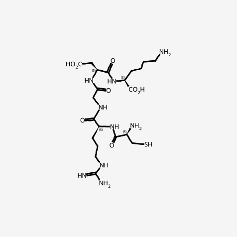 N=C(N)NCCC[C@H](NC(=O)[C@@H](N)CS)C(=O)NCC(=O)N[C@@H](CC(=O)O)C(=O)N[C@@H](CCCCN)C(=O)O